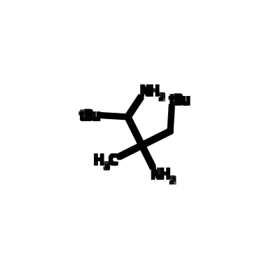 CC(C)(C)CC(C)(N)C(N)C(C)(C)C